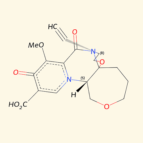 C#C[C@@H]1COC23CCCOC[C@@H]2n2cc(C(=O)O)c(=O)c(OC)c2C(=O)N13